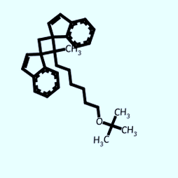 CC(C)(C)OCCCCCCC1(C)C2(C=Cc3ccccc32)CC12C=Cc1ccccc12